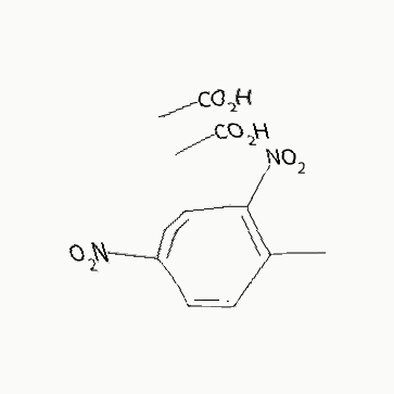 CC(=O)O.CC(=O)O.Cc1ccc([N+](=O)[O-])cc1[N+](=O)[O-]